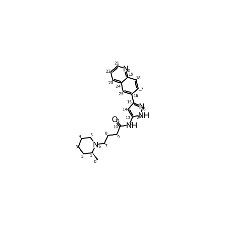 C[C@H]1CCCCN1CCCC(=O)Nc1cc(-c2ccc3ncccc3c2)n[nH]1